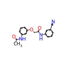 CC(=O)Nc1cccc(OCC(=O)Nc2cccc(C#N)c2)c1